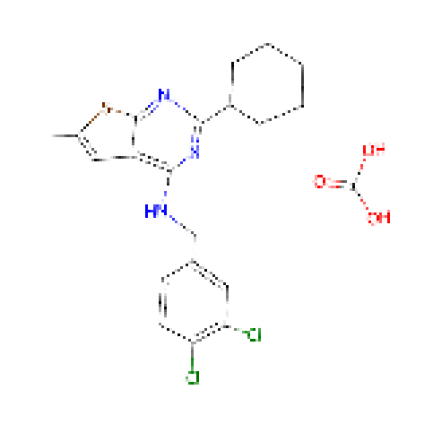 Cc1cc2c(NCc3ccc(Cl)c(Cl)c3)nc(C3CCCCC3)nc2s1.O=C(O)O